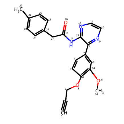 C#CCOc1ccc(-c2nccnc2NC(=O)Cc2ccc(C)cc2)cc1OC